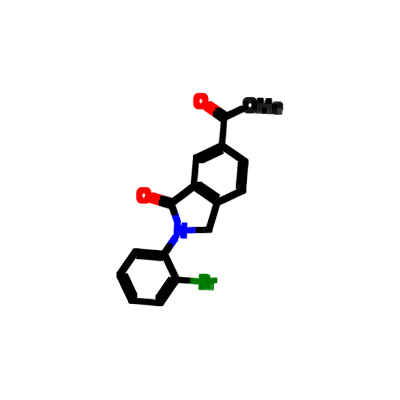 COC(=O)c1ccc2c(c1)C(=O)N(c1ccccc1Br)C2